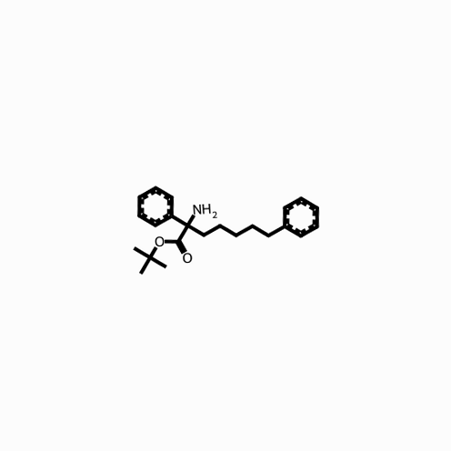 CC(C)(C)OC(=O)C(N)(CCCCCc1ccccc1)c1ccccc1